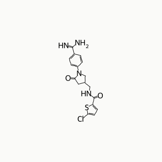 N=C(N)c1ccc(N2CC(CNC(=O)c3ccc(Cl)s3)CC2=O)cc1